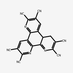 N#CC1=C(C#N)N=C2c3nc(C#N)c(C#N)cc3-c3nc(C#N)c(C#N)cc3C2C1